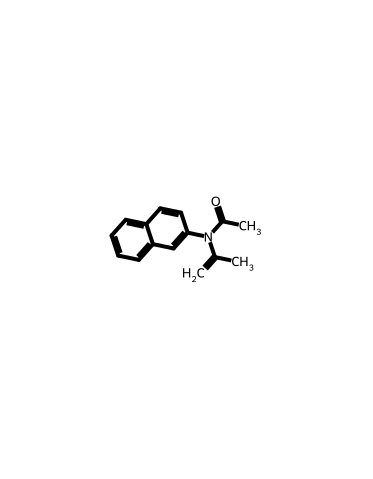 C=C(C)N(C(C)=O)c1ccc2ccccc2c1